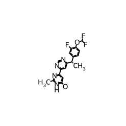 Cc1nc(-c2cc([C@H](C)c3ccc(OC(F)F)c(F)c3)ncn2)cc(=O)[nH]1